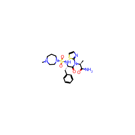 C[C@@H](C(N)=O)N(C(=O)[C@H](Cc1ccccc1)NS(=O)(=O)N1CCCN(C)CC1)c1nccs1